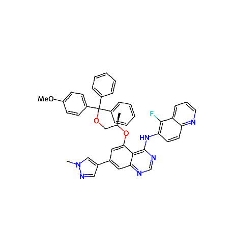 COc1ccc(C(OC[C@@H](C)Oc2cc(-c3cnn(C)c3)cc3ncnc(Nc4ccc5ncccc5c4F)c23)(c2ccccc2)c2ccccc2)cc1